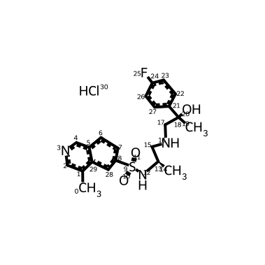 Cc1cncc2ccc(S(=O)(=O)N[C@H](C)CNCC(C)(O)c3ccc(F)cc3)cc12.Cl